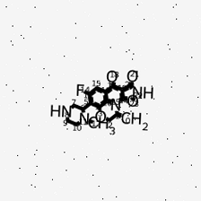 C=C1COc2c(C3CNCCN3C)c(F)cc3c(=O)c4c(=O)[nH]oc4n1c23